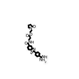 Cn1c(-c2ccc(C(=N)N)cc2)nc2cc(C(=O)NCCC(=O)OCCN3CCCC3=O)ccc21